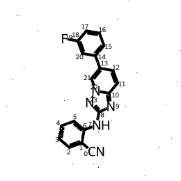 N#Cc1ccccc1Nc1nc2ccc(-c3cccc(F)c3)cn2n1